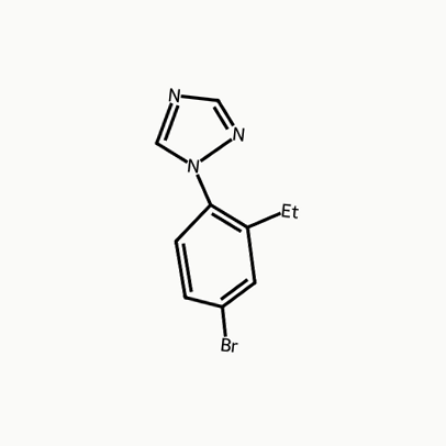 CCc1cc(Br)ccc1-n1cncn1